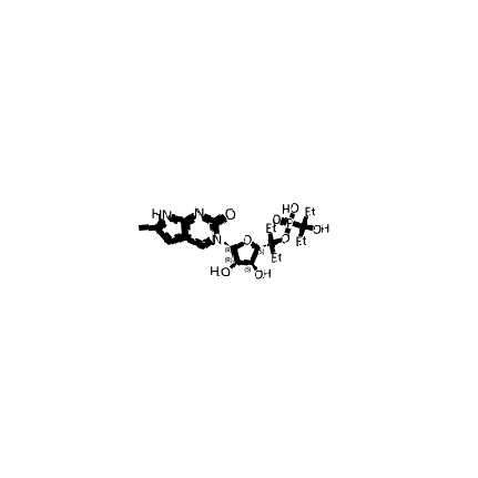 CCC(CC)(OP(=O)(O)C(O)(CC)CC)[C@H]1O[C@@H](n2cc3cc(C)[nH]c3nc2=O)[C@H](O)[C@@H]1O